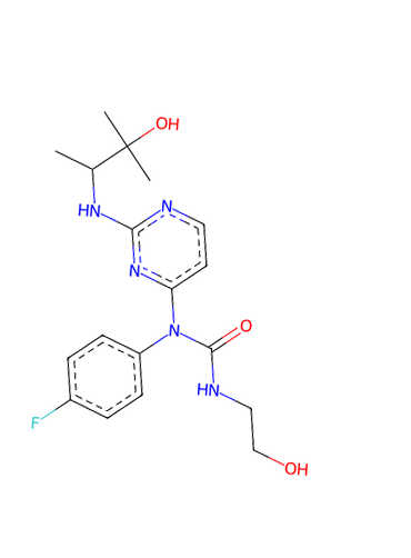 CC(Nc1nccc(N(C(=O)NCCO)c2ccc(F)cc2)n1)C(C)(C)O